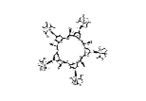 CC(C)[Si](C#Cc1cc2cc(c1)/C(C#N)=C/c1cc(C#C[Si](C(C)C)(C(C)C)C(C)C)cc(c1)/C(C#N)=C/c1cc(C#C[Si](C(C)C)(C(C)C)C(C)C)cc(c1)/C(C#N)=C/c1cc(C#C[Si](C(C)C)(C(C)C)C(C)C)cc(c1)/C(C#N)=C/c1cc(C#C[Si](C(C)C)(C(C)C)C(C)C)cc(c1)/C(C#N)=C/2)(C(C)C)C(C)C